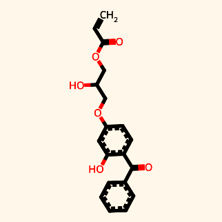 C=CC(=O)OCC(O)COc1ccc(C(=O)c2ccccc2)c(O)c1